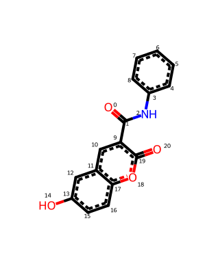 O=C(Nc1ccccc1)c1cc2cc(O)ccc2oc1=O